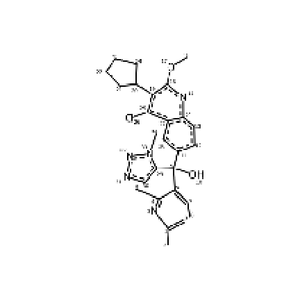 C=C(C)/N=C(C)\C(=C/C)C(O)(c1ccc2nc(OC)c(C3CCCC3)c(Cl)c2c1)c1cnnn1C